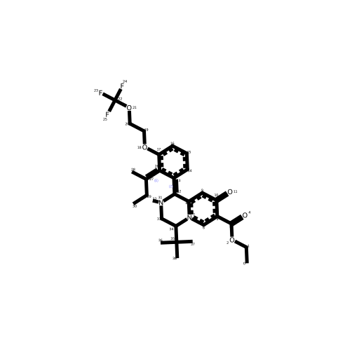 CCOC(=O)c1cn2c(cc1=O)/C(=c1\cccc(OCCOC(F)(F)F)\c1=C(/C)CC)N(C)CC2C(C)(C)C